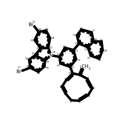 C=C1/C=C\C=C/C/C=C\C=C/1c1cc(-c2cccc3ccccc23)cc(-n2c3ccc(Br)cc3c3cc(Br)ccc32)c1